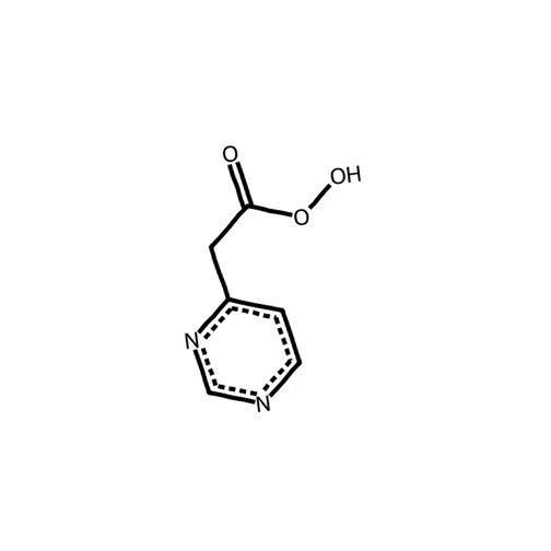 O=C(Cc1ccncn1)OO